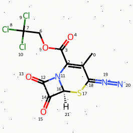 CC1=C(C(=O)OCC(Cl)(Cl)Cl)N2C(=O)C(=O)[C@@H]2SC1=[N+]=[N-]